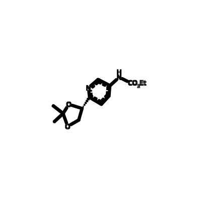 CCOC(=O)Nc1ccc([C@@H]2COC(C)(C)O2)nc1